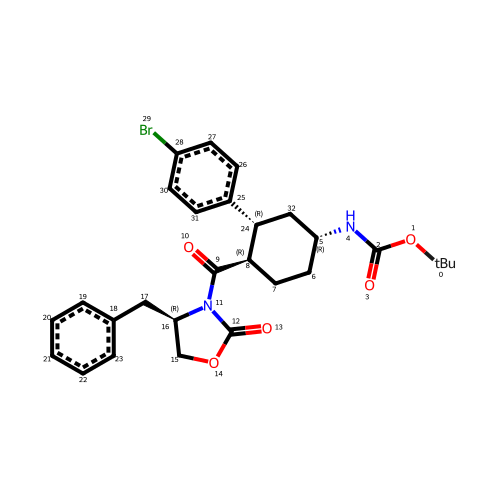 CC(C)(C)OC(=O)N[C@@H]1CC[C@@H](C(=O)N2C(=O)OC[C@H]2Cc2ccccc2)[C@H](c2ccc(Br)cc2)C1